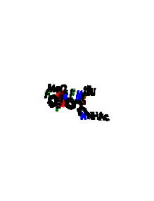 COCN(c1cccc(-c2nc(C(C)(C)C)sc2-c2ccnc(NC(C)=O)c2)c1F)S(=O)(=O)c1cc(F)ccc1F